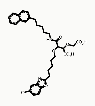 O=C(O)COC(C(=O)O)C(OCCCCCc1nc2cc(Cl)ccc2o1)C(=O)NCCCCCc1ccc2ccccc2c1